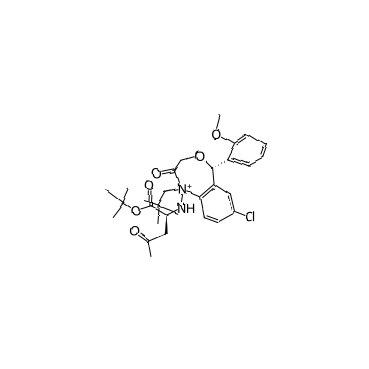 COc1ccccc1[C@H]1OCC(=O)[N+](CC(C)(C)C)(N[C@@H](CC(C)=O)C(=O)OC(C)(C)C)c2ccc(Cl)cc21